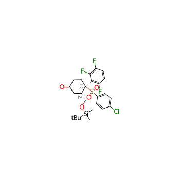 CC(C)(C)[Si](C)(C)OC[C@@H]1CC(=O)CC[C@@]1(c1c(F)ccc(F)c1F)S(=O)(=O)c1ccc(Cl)cc1